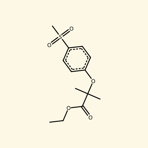 CCOC(=O)C(C)(C)Oc1ccc(S(C)(=O)=O)cc1